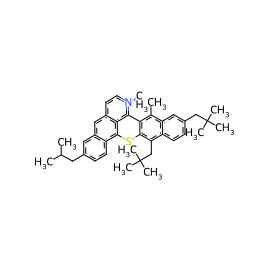 Cc1c2c(c(CC(C)(C)C)c3ccc(CC(C)(C)C)cc13)Sc1c3ccc(CC(C)C)cc3cc3cc[n+](C)c-2c13